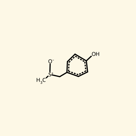 C[S+]([O-])Cc1ccc(O)cc1